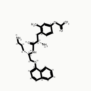 Cc1cc(OC(=O)C(F)(F)F)ccc1C[C@H](N)C(=O)N[C@@H](CCCN)COc1cccc2ccccc12